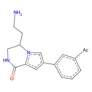 CC(=O)c1cccc(-c2cc3n(c2)C(CCN)CNC3=O)c1